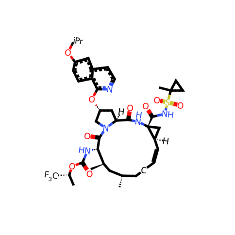 CC(C)Oc1ccc2c(O[C@@H]3C[C@H]4C(=O)N[C@]5(C(=O)NS(=O)(=O)C6(C)CC6)C[C@H]5/C=C\CC[C@H](C)C[C@@H](C)[C@H](NC(=O)O[C@H](C)C(F)(F)F)C(=O)N4C3)nccc2c1